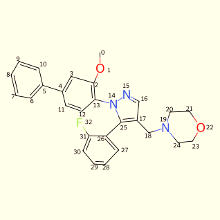 COc1cc(-c2ccccc2)ccc1-n1ncc(CN2CCOCC2)c1-c1ccccc1F